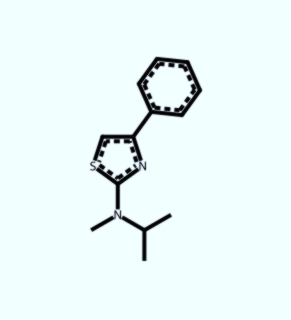 CC(C)N(C)c1nc(-c2ccccc2)cs1